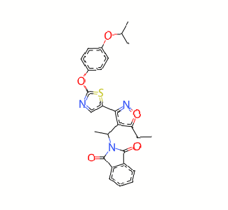 CCc1onc(-c2cnc(Oc3ccc(OC(C)C)cc3)s2)c1C(C)N1C(=O)c2ccccc2C1=O